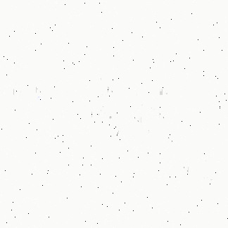 CCC(C)[C@@H](C(=O)N[C@@H](Cc1ccccc1)[C@H](O)CN(CC1CCCC1)S(=O)(=O)c1ccc(/C=N/O)cc1)N1CCN(Cc2csc(C(C)C)n2)C1=O